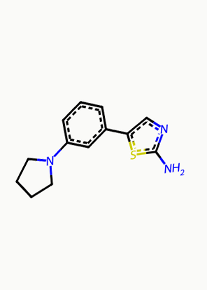 Nc1ncc(-c2cccc(N3CCCC3)c2)s1